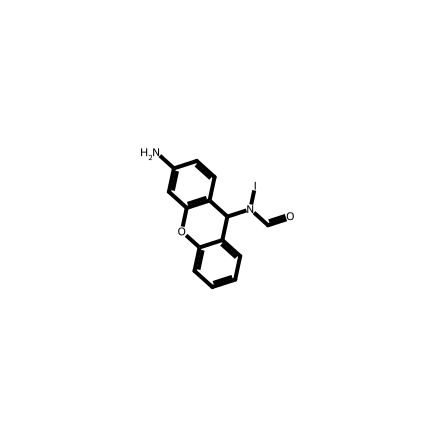 Nc1ccc2c(c1)Oc1ccccc1C2N(I)C=O